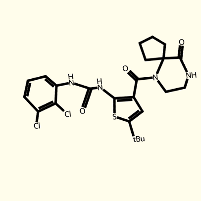 CC(C)(C)c1cc(C(=O)N2CCNC(=O)C23CCCC3)c(NC(=O)Nc2cccc(Cl)c2Cl)s1